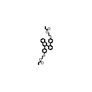 C=CC(=O)OCCSc1ccc(-c2ccccc2-c2cc3ccccc3cc2-c2ccc(SCCOC(=O)C=C)cc2)cc1